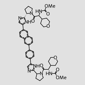 COC(=O)N[C@H](C(=O)N1CCCC1c1ncc(-c2ccc(-c3ccc4cc(-c5cnc([C@@H]6CCCN6C(=O)[C@@H](NC(=O)OC)C6CCOCC6)[nH]5)ccc4c3)cc2)[nH]1)C1CCOCC1